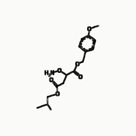 COc1ccc(COC(=O)C(CC(=O)OCC(C)C)ON)cc1